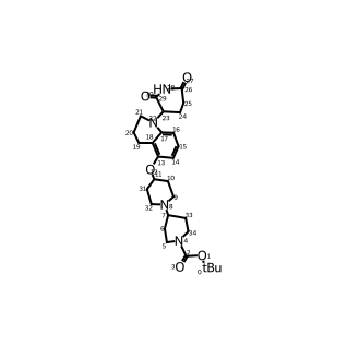 CC(C)(C)OC(=O)N1CCC(N2CCC(Oc3cccc4c3CCCN4C3CCC(=O)NC3=O)CC2)CC1